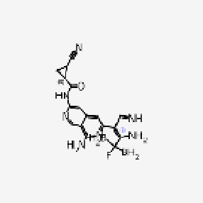 BC(B)(F)/C(N)=C(/C=N)c1cc2cc(NC(=O)[C@H]3CC3C#N)ncc2c(N)n1